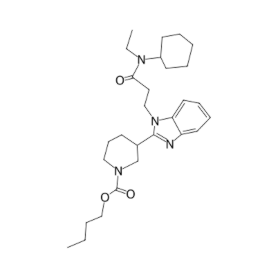 CCCCOC(=O)N1CCCC(c2nc3ccccc3n2CCC(=O)N(CC)C2CCCCC2)C1